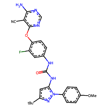 COc1ccc(-n2nc(C(C)(C)C)cc2NC(=O)Nc2ccc(Oc3ncnc(N)c3C#N)c(F)c2)cc1